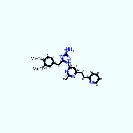 COc1ccc(Cc2nc(N)nn2-c2cc(CCc3ccccn3)nc(C)n2)cc1OC